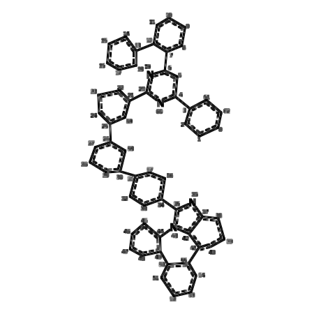 c1ccc(-c2cc(-c3ccccc3-c3ccccc3)nc(-c3cccc(-c4cccc(-c5ccc(-c6nc7cccc8c7n6-c6ccccc6-c6ccccc6-8)cc5)c4)c3)n2)cc1